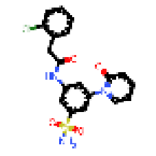 NS(=O)(=O)c1cc(NC(=O)Cc2ccccc2Cl)cc(-n2ccccc2=O)c1